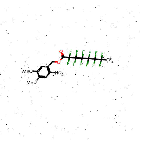 COc1cc(COC(=O)C(F)(F)C(F)(F)C(F)(F)C(F)(F)C(F)(F)C(F)(F)C(F)(F)F)c([N+](=O)[O-])cc1OC